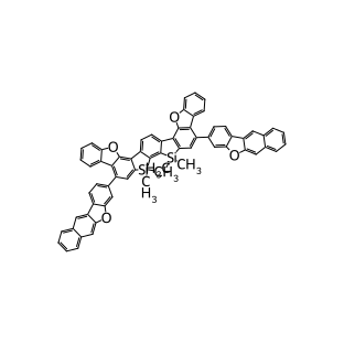 C[Si]1(C)c2cc(-c3ccc4c(c3)oc3cc5ccccc5cc34)c3c(oc4ccccc43)c2-c2ccc3c(c21)[Si](C)(C)c1cc(-c2ccc4c(c2)oc2cc5ccccc5cc24)c2c(oc4ccccc42)c1-3